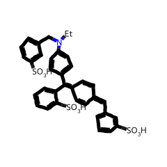 CCN(Cc1cccc(S(=O)(=O)O)c1)c1ccc(C(c2ccccc2S(=O)(=O)O)=c2ccc(=Cc3cccc(S(=O)(=O)O)c3)cc2)cc1